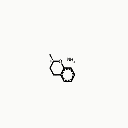 C[C@@H]1CCc2ccccc2O1.N